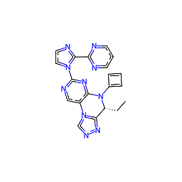 CC[C@@H]1c2nncn2-c2cnc(-n3ccnc3-c3ncccn3)nc2N1C1=CC=C1